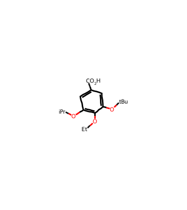 CCOc1c(OC(C)C)cc(C(=O)O)cc1OC(C)(C)C